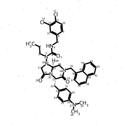 CCCN(C(=O)NCc1ccc(Cl)c(Cl)c1)N1CC(=O)N2[C@@H](Cc3ccc(N(C)C)cc3)C(=O)N(Cc3cccc4ccccc34)C[C@@H]21